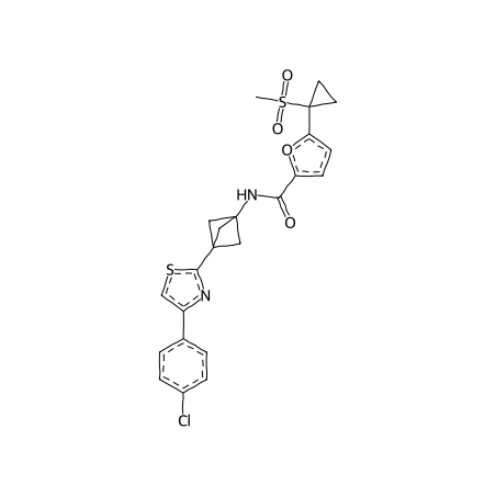 CS(=O)(=O)C1(c2ccc(C(=O)NC34CC(c5nc(-c6ccc(Cl)cc6)cs5)(C3)C4)o2)CC1